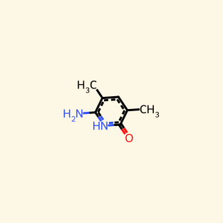 Cc1cc(C)c(=O)[nH]c1N